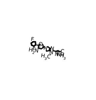 CCn1c(-c2cc(C)[nH]n2)nc2c1CN([C@H]1CO[C@H](c3cc(F)ccc3F)[C@@H](N)C1)C2